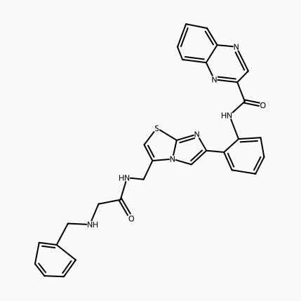 O=C(CNCc1ccccc1)NCc1csc2nc(-c3ccccc3NC(=O)c3cnc4ccccc4n3)cn12